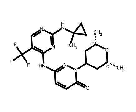 C[C@@H]1CC(n2nc(Nc3nc(NC4(C)CC4)ncc3C(F)(F)F)ccc2=O)C[C@H](C)O1